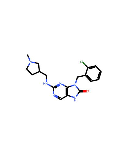 CN1CCC(CNc2ncc3[nH]c(=O)n(Cc4ccccc4Cl)c3n2)C1